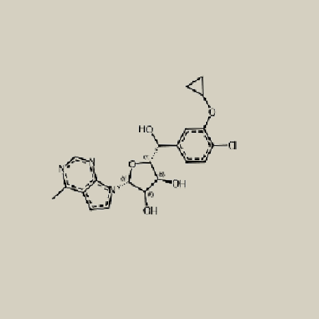 Cc1ncnc2c1ccn2[C@@H]1O[C@H](C(O)c2ccc(Cl)c(OC3CC3)c2)[C@@H](O)[C@H]1O